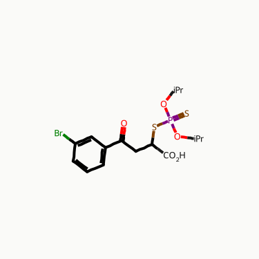 CC(C)OP(=S)(OC(C)C)SC(CC(=O)c1cccc(Br)c1)C(=O)O